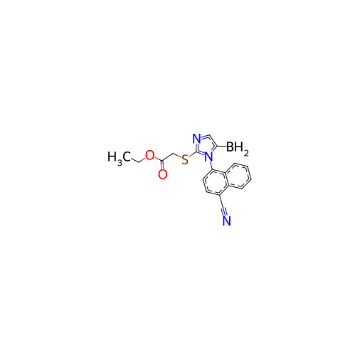 Bc1cnc(SCC(=O)OCC)n1-c1ccc(C#N)c2ccccc12